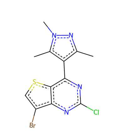 Cc1nn(C)c(C)c1-c1nc(Cl)nc2c(Br)csc12